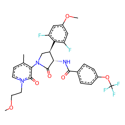 COCCn1ccc(C)c(N2C[C@@H](c3c(F)cc(OC)cc3F)[C@H](NC(=O)c3ccc(OC(F)(F)F)cc3)C2=O)c1=O